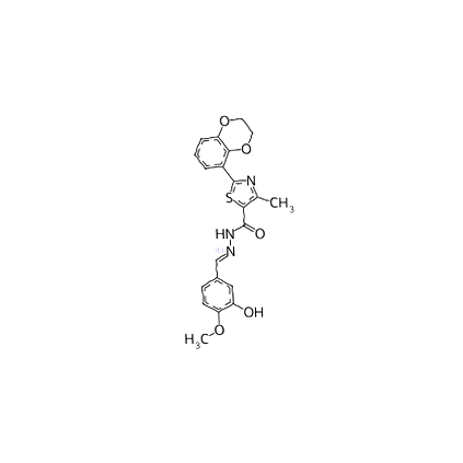 COc1ccc(/C=N/NC(=O)c2sc(-c3cccc4c3OCCO4)nc2C)cc1O